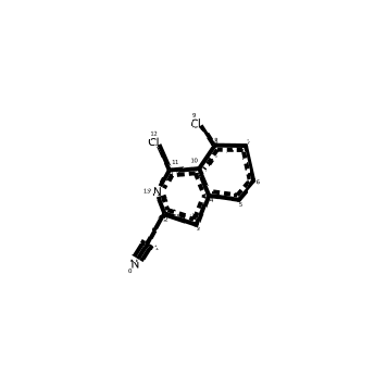 N#Cc1cc2cccc(Cl)c2c(Cl)n1